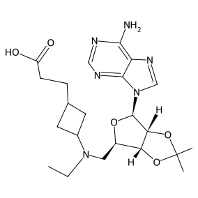 CCN(C[C@H]1O[C@@H](n2cnc3c(N)ncnc32)[C@@H]2OC(C)(C)O[C@@H]21)C1CC(CCC(=O)O)C1